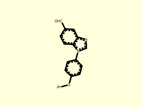 CC(C)Oc1ccc(-n2cnc3cc(C=O)ccc32)cc1